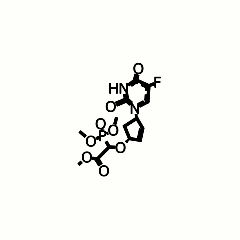 COC(=O)C(O[C@@H]1C=C[C@H](n2cc(F)c(=O)[nH]c2=O)C1)P(=O)(OC)OC